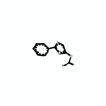 FC(F)Oc1csc(-c2cc[c]cc2)n1